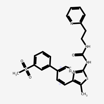 C/C=C(\C=C/c1nc(NC(=O)NCCc2ccccn2)sc1C)c1cccc(S(C)(=O)=O)c1